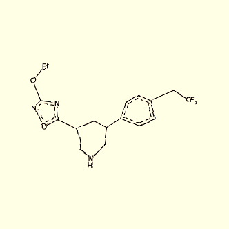 CCOc1noc(C2CNCC(c3ccc(CC(F)(F)F)cc3)C2)n1